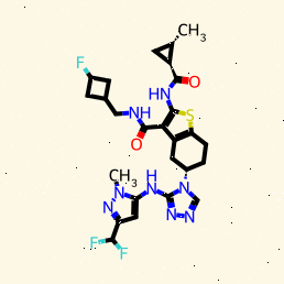 C[C@H]1C[C@@H]1C(=O)Nc1sc2c(c1C(=O)NCC1CC(F)C1)C[C@@H](n1cnnc1Nc1cc(C(F)F)nn1C)CC2